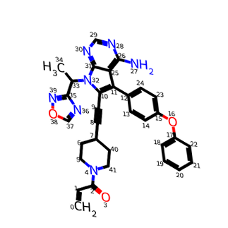 C=CC(=O)N1CCC(C#Cc2c(-c3ccc(Oc4ccccc4)cc3)c3c(N)ncnc3n2C(C)c2ncon2)CC1